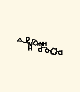 O=C(COc1ccc(Cl)cc1)N[C@H]1CC2(NC(=O)CC3CC3)CC12